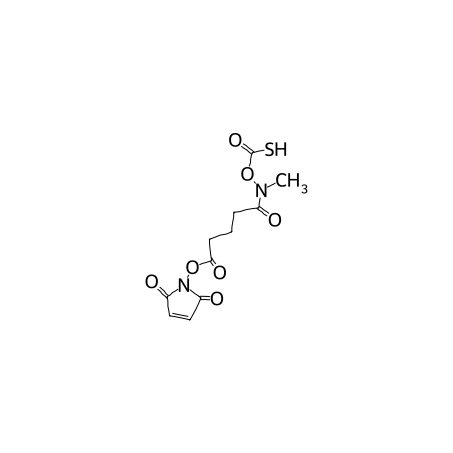 CN(OC(=O)S)C(=O)CCCC(=O)ON1C(=O)C=CC1=O